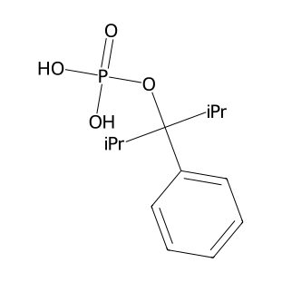 CC(C)C(OP(=O)(O)O)(c1ccccc1)C(C)C